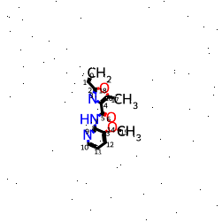 C=Cc1nc(C(=O)Nc2ncccc2OC)c(C)o1